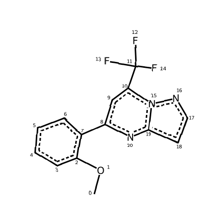 COc1ccccc1-c1cc(C(F)(F)F)n2nccc2n1